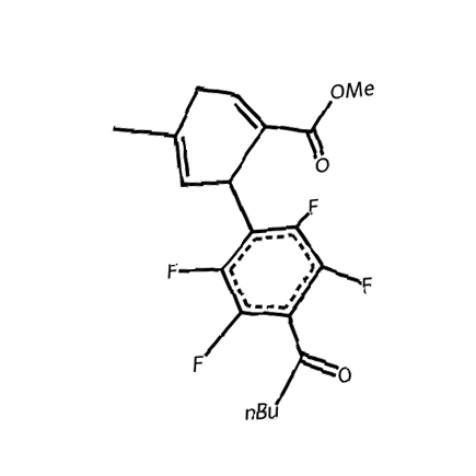 CCCCC(=O)c1c(F)c(F)c(C2C=C(C)CC=C2C(=O)OC)c(F)c1F